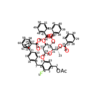 CC(=O)OCc1cc(F)c(Cc2ccc(C3CC3)cc2)c(O[C@@H]2O[C@H]([C@@H](C)OC(=O)c3ccccc3)[C@@H](OC(=O)c3ccccc3)[C@H](OC(=O)c3ccccc3)[C@H]2OC(=O)c2ccccc2)c1